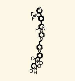 O=C1CCC(N2C(=O)c3ccc(N4CCC(CCN5CCN(c6ncc(-c7ccc8c9cnccc9n(C(F)F)c8c7)cc6F)CC5)CC4)cc3C2=O)C(=O)N1